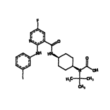 CC(C)(C)N(C(=O)O)[C@H]1CC[C@@H](NC(=O)c2cc(F)cnc2Nc2cccc(I)c2)CC1